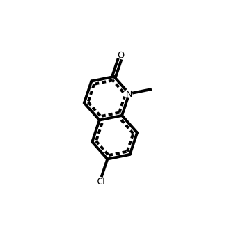 Cn1c(=O)ccc2cc(Cl)ccc21